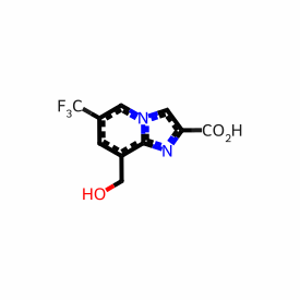 O=C(O)c1cn2cc(C(F)(F)F)cc(CO)c2n1